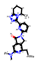 CNCc1nc(N(C)C(C)C)cc2c1CN(c1cccc(-c3nnc4n3C(C(F)(F)F)CCC4)n1)C2=O